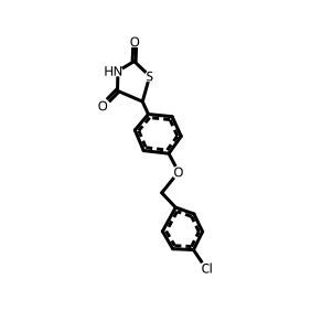 O=C1NC(=O)C(c2ccc(OCc3ccc(Cl)cc3)cc2)S1